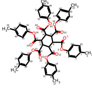 Cc1ccc(OC(=O)C2C(C(=O)Oc3ccc(C)cc3)C(C(=O)Oc3ccc(C)cc3)C(C(=O)Oc3ccc(C)cc3)C(C(=O)Oc3ccc(C)cc3)C2C(=O)Oc2ccc(C)cc2)cc1